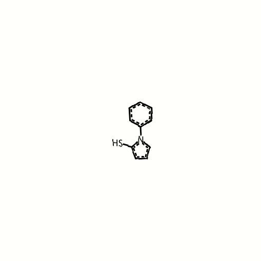 Sc1cccn1-c1ccccc1